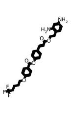 Nc1ccc(CCOC(=O)C=Cc2ccc(OC(=O)c3ccc(OCCCCC(F)(F)F)cc3)cc2)c(N)c1